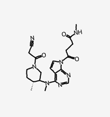 CNC(=O)CCC(=O)n1ccc2c(N(C)C3CN(C(=O)CC#N)CC[C@H]3C)ncnc21